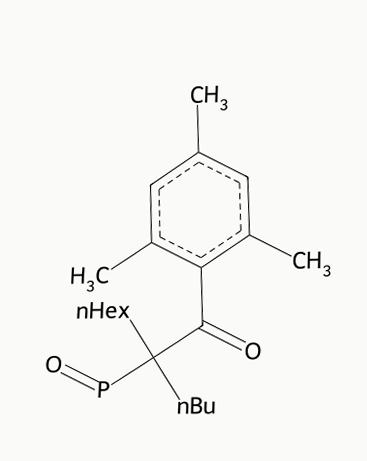 CCCCCCC(CCCC)(P=O)C(=O)c1c(C)cc(C)cc1C